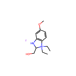 CC[N+]1(CC)c2ccc(OC)cc2NC1CO.[I-]